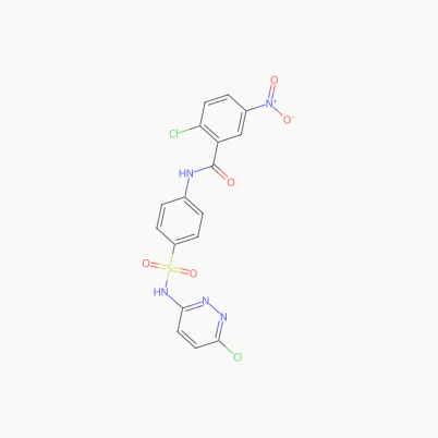 O=C(Nc1ccc(S(=O)(=O)Nc2ccc(Cl)nn2)cc1)c1cc([N+](=O)[O-])ccc1Cl